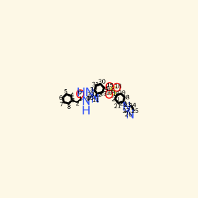 O=C(Cc1ccccc1)Nc1nc2cc(OS(=O)(=O)c3ccc(-n4ccnc4)cc3)ccc2[nH]1